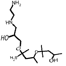 BC(C)(CC(C)OC(C)(C)CC(C)O)OCC(O)CNCCN